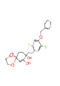 OC1=CC2(CC[C@@]1(O)CCc1cc(F)c(OCc3ccccc3)cc1F)OCCO2